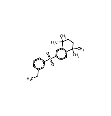 CCc1cccc(S(=O)(=O)c2ccc3c(c2)C(C)(C)CCC3(C)C)c1